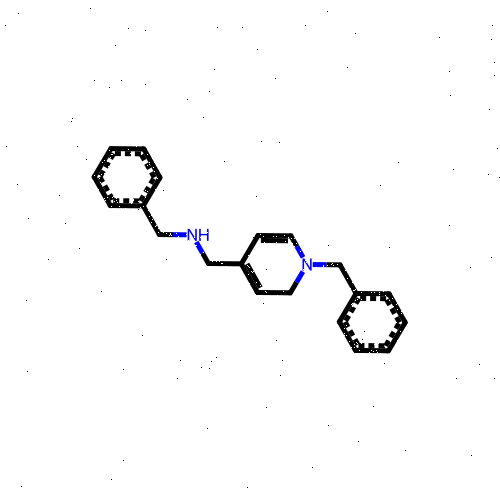 C1=CN(Cc2ccccc2)CC=C1CNCc1ccccc1